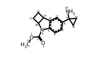 COC(=O)N1c2ccc(C3(N)CC3)cc2C2CCC21